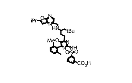 COc1c(CCC(CC(C)(C)C)NCc2cnc3oc(C(C)C)cc3n2)nc(NS(=O)(=O)c2cccc(C(=O)O)c2)nc1-c1c(C)cccc1C